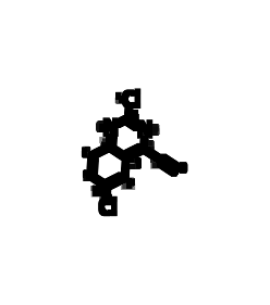 C#Cc1nc(Cl)nc2ccc(Cl)cc12